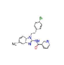 N#Cc1ccc2c(c1)nc(NC(=O)c1cccnc1)n2CCc1ccc(Br)cc1